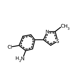 Cc1nc(-c2ccc(Cl)c(N)c2)cs1